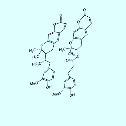 COc1cc(CCC(=O)O[C@H]2Cc3cc4ccc(=O)oc4cc3OC2(C)C)ccc1O.COc1cc(C[C@H](C(=O)O)C2Cc3cc4ccc(=O)oc4cc3OC2(C)C)ccc1O